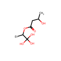 CCC(OC(=O)CC(C)O)C(O)(O)O